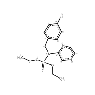 CCOP(=O)(OCC)N(Cc1ccc(Cl)cc1)c1cnccn1